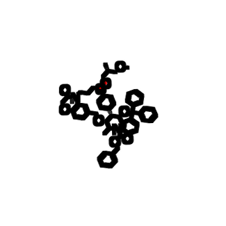 COCCCN1C(=O)COc2ccc(CO[C@H]3C(C)N(C(=O)OCc4ccccc4)C[C@@H](OC(c4ccccc4)(c4ccccc4)c4ccccc4)[C@H]3c3ccc(COC[C@@H](C)COC)cc3)cc21